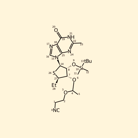 [C-]#[N+]CCOC(C)O[C@H]1[C@@H](O[Si](C)(C)C(C)(C)C)[C@H](n2cnc3c(=O)[nH]c(C)nc32)S[C@@H]1CC